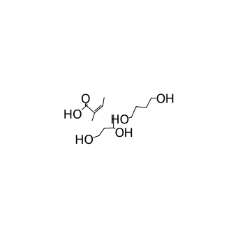 CC(O)CCO.CC=C(C)C(=O)O.OCCCCO